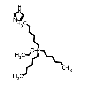 CCCCCC[P](CCCCCC)(CCCCCC)OCC.c1c[nH]cn1